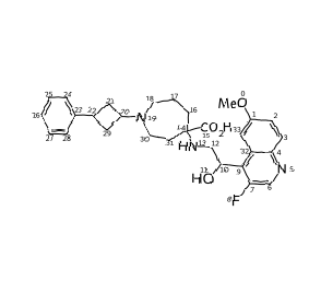 COc1ccc2ncc(F)c(C(O)CNC3(C(=O)O)CCCN(C4CC(c5ccccc5)C4)CC3)c2c1